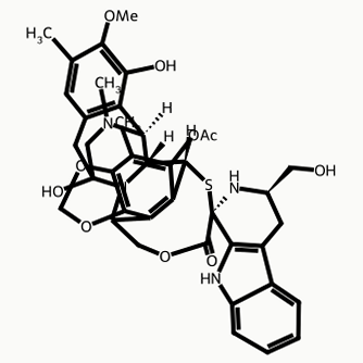 COc1c(C)cc2c(c1O)[C@H]1[C@@H]3[C@@H]4S[C@]5(N[C@@H](CO)Cc6c5[nH]c5ccccc65)C(=O)OCC(c5c6c(c(C)c(OC(C)=O)c54)OCO6)N3C(O)(C2)CN1C